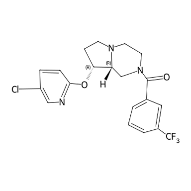 O=C(c1cccc(C(F)(F)F)c1)N1CCN2CC[C@@H](Oc3ccc(Cl)cn3)[C@H]2C1